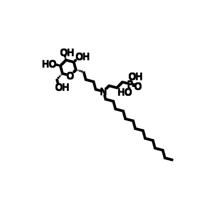 CCCCCCCCCCCCCCN(CCCC[C@@H]1O[C@H](CO)[C@@H](O)[C@H](O)[C@H]1O)CCCP(=O)(O)O